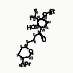 CCCC1CCC(CCCC(=O)c2ccc(OCC)c(C(F)F)c2O)OC1